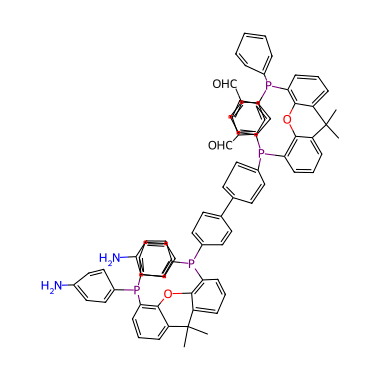 CC1(C)c2cccc(P(c3ccccc3)c3ccc(N)cc3)c2Oc2c(P(c3ccc(N)cc3)c3ccc(-c4ccc(P(c5ccc(C=O)cc5)c5cccc6c5Oc5c(P(c7ccccc7)c7ccc(C=O)cc7)cccc5C6(C)C)cc4)cc3)cccc21